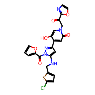 O=C(Cn1cc(O)c(-c2cc(NCc3ccc(Cl)s3)n(C(=O)c3ccco3)n2)cc1=O)c1ncco1